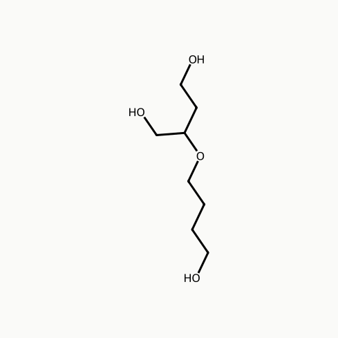 OCCCCOC(CO)CCO